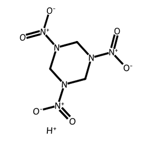 O=[N+]([O-])N1CN([N+](=O)[O-])CN([N+](=O)[O-])C1.[H+]